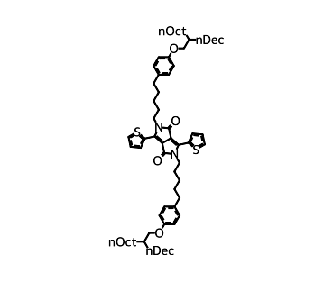 CCCCCCCCCCC(CCCCCCCC)COc1ccc(CCCCCN2C(=O)C3=C(c4cccs4)N(CCCCCc4ccc(OCC(CCCCCCCC)CCCCCCCCCC)cc4)C(=O)C3=C2c2cccs2)cc1